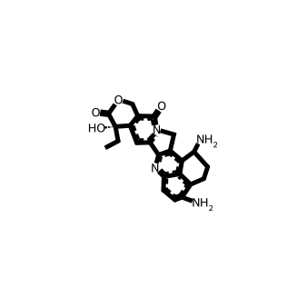 CC[C@@]1(O)C(=O)OCc2c1cc1n(c2=O)Cc2c-1nc1ccc(N)c3c1c2C(N)CC3